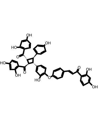 O=C(/C=C/c1ccc(Oc2ccc([C@@H]3[C@@H](C(=O)c4ccc(O)cc4O)[C@H](C(=O)c4ccc(O)cc4O)[C@H]3c3ccc(O)cc3)cc2O)cc1)c1ccc(O)cc1O